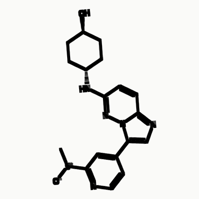 C[S+]([O-])c1cc(-c2cnc3ccc(N[C@H]4CC[C@H](O)CC4)nn23)ccn1